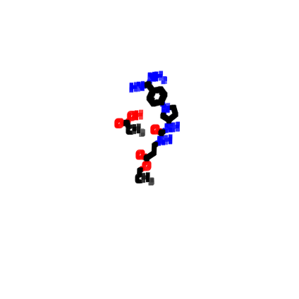 CC(=O)O.CCOC(=O)CCNC(=O)NC1CCN(c2ccc(C(=N)N)cc2)C1